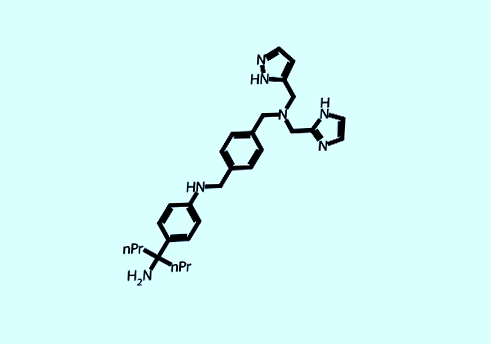 CCCC(N)(CCC)c1ccc(NCc2ccc(CN(Cc3ccn[nH]3)Cc3ncc[nH]3)cc2)cc1